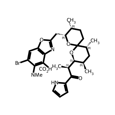 CNc1c(Br)cc2oc(C[C@H]3OC4(CC[C@H]3C)O[C@H]([C@H](C)C(=O)c3ccc[nH]3)[C@H](C)C[C@H]4C)nc2c1C(=O)O